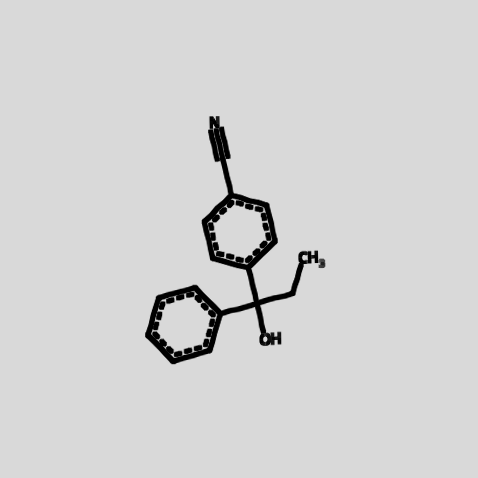 CCC(O)(c1ccccc1)c1ccc(C#N)cc1